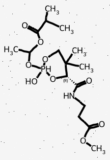 COC(=O)CCNC(=O)[C@@H]1O[PH](O)(OC(C)OC(=O)C(C)C)OCC1(C)C